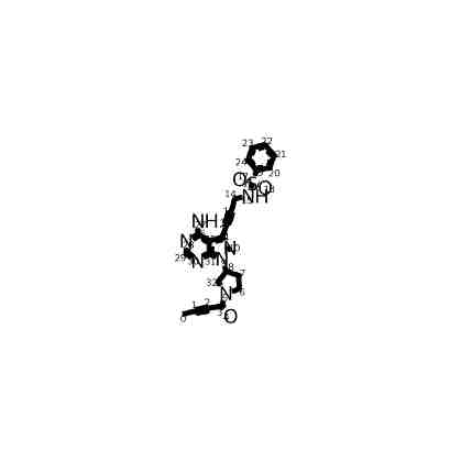 CC#CC(=O)N1CCC(n2nc(C#CCNS(=O)(=O)c3ccccc3)c3c(N)ncnc32)C1